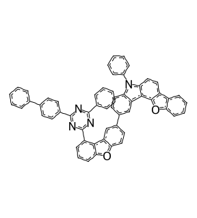 c1ccc(-c2ccc(-c3nc(-c4ccccc4)nc(-c4cccc5oc6ccc(-c7ccc8c(c7)c7c9oc%10ccccc%10c9ccc7n8-c7ccccc7)cc6c45)n3)cc2)cc1